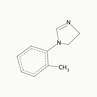 Cc1ccccc1N1C=NCC1